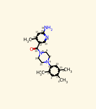 Cc1cc(C)c(N2CCN(C(=O)c3cnc(N)cc3C)CC2)cc1C